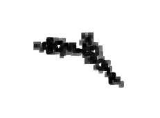 COCCN1CCC(Nc2cccc3c2cc(C#CCNc2ccc(S(C)(=O)=O)cc2F)n3CC(F)(F)F)CC1